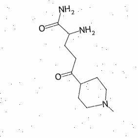 CN1CCC(C(=O)CCC(N)C(N)=O)CC1